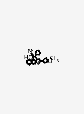 CN(C)CCC(O)(c1cccc2ccccc12)C(c1ccccc1)c1cc(-c2ccc(OC(F)(F)F)cc2)cnc1F